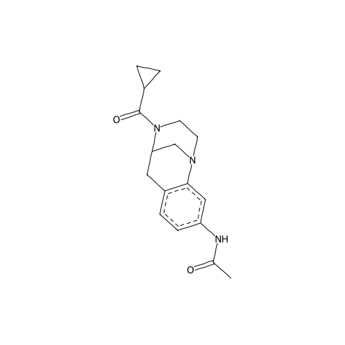 CC(=O)Nc1ccc2c(c1)N1CCN(C(=O)C3CC3)C(C2)C1